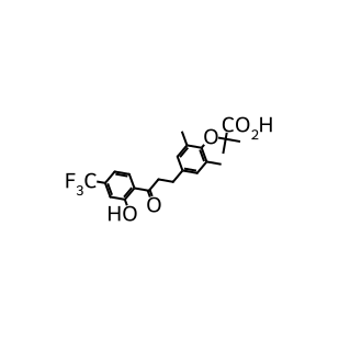 Cc1cc(CCC(=O)c2ccc(C(F)(F)F)cc2O)cc(C)c1OC(C)(C)C(=O)O